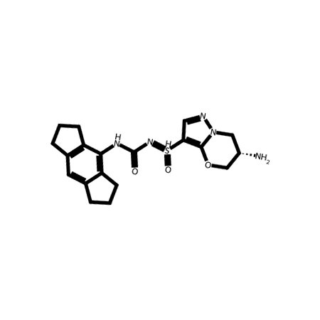 N[C@@H]1COc2c(/[SH](=O)=N/C(=O)Nc3c4c(cc5c3CCC5)CCC4)cnn2C1